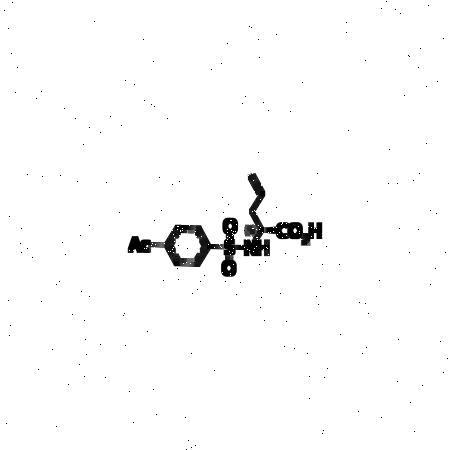 C=CC[C@H](NS(=O)(=O)c1ccc(C(C)=O)cc1)C(=O)O